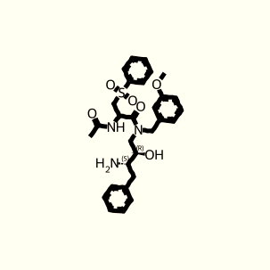 COc1cccc(CN(C[C@@H](O)[C@@H](N)Cc2ccccc2)C(=O)C(CS(=O)(=O)c2ccccc2)NC(C)=O)c1